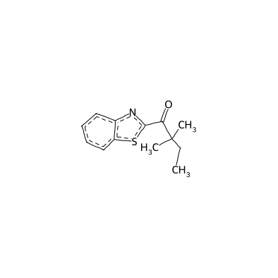 CCC(C)(C)C(=O)c1nc2ccccc2s1